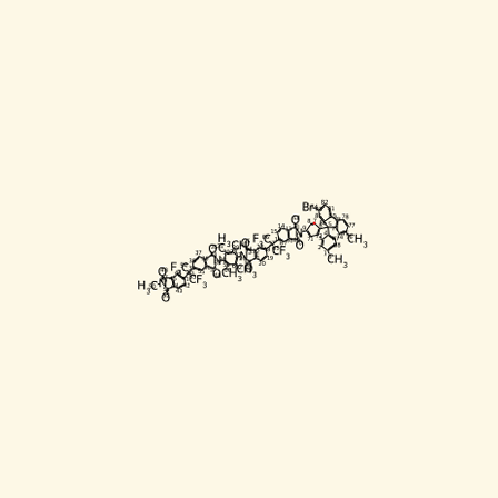 Cc1ccc(C2(c3ccc(N4C(=O)c5ccc(C(c6ccc7c(c6)C(=O)N(c6c(C)c(C)c(N8C(=O)c9ccc(C(c%10ccc%11c(c%10)C(=O)N(C)C%11=O)(C(F)(F)F)C(F)(F)F)cc9C8=O)c(C)c6C)C7=O)(C(F)(F)F)C(F)(F)F)cc5C4=O)cc3)c3cc(C)ccc3-c3ccc(Br)cc32)cc1